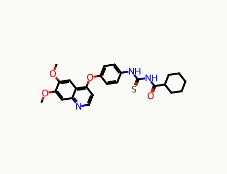 COc1cc2nccc(Oc3ccc(NC(=S)NC(=O)C4CCCCC4)cc3)c2cc1OC